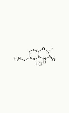 C[C@H]1Oc2ccc(CN)cc2NC1=O.Cl